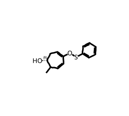 CC1C=CC(OSc2ccccc2)=CC[C@H]1O